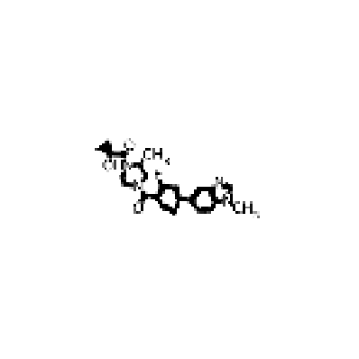 C[C@H]1CN(C(=O)c2ccc(-c3ccc4c(c3)ncn4C)cc2F)CCN1C(=O)C1(O)CC1